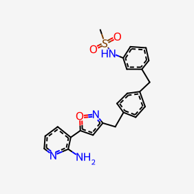 CS(=O)(=O)Nc1cccc(Cc2ccc(Cc3cc(-c4cccnc4N)on3)cc2)c1